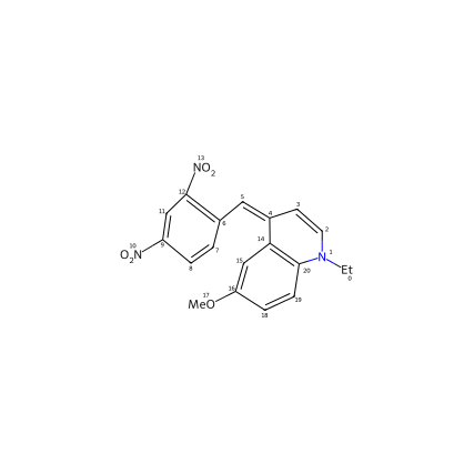 CCN1C=C/C(=C/c2ccc([N+](=O)[O-])cc2[N+](=O)[O-])c2cc(OC)ccc21